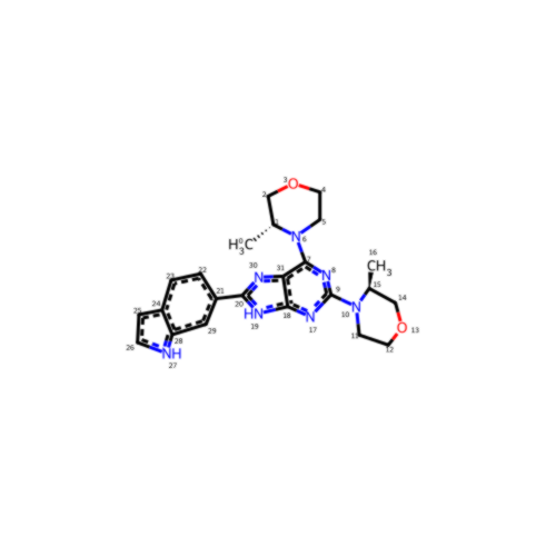 C[C@@H]1COCCN1c1nc(N2CCOC[C@@H]2C)nc2[nH]c(-c3ccc4cc[nH]c4c3)nc12